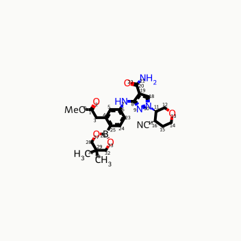 COC(=O)Cc1cc(Nc2nn([C@H]3COCC[C@@H]3C#N)cc2C(N)=O)ccc1B1OCC(C)(C)CO1